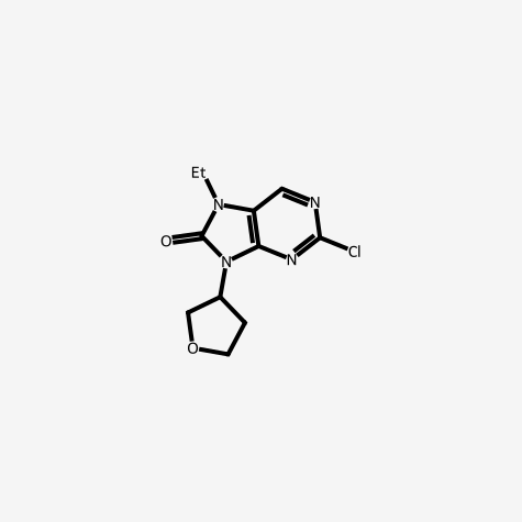 CCn1c(=O)n(C2CCOC2)c2nc(Cl)ncc21